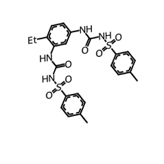 CCc1ccc(NC(=O)NS(=O)(=O)c2ccc(C)cc2)cc1NC(=O)NS(=O)(=O)c1ccc(C)cc1